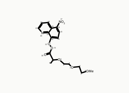 COCCOCCOC(C)C(=O)OOc1ccc([N+](=O)[O-])c2cccnc12